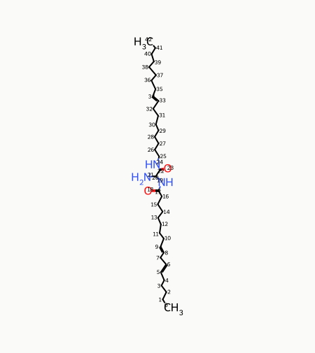 CCCCCC=CCC=CCCCCCCCC(=O)NC(N)C(=O)NCCCCCCCCC=CCCCCCCCC